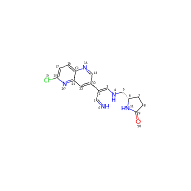 N=C/C(=C\NC[C@@H]1CCC(=O)N1)c1cnc2ccc(Cl)nc2c1